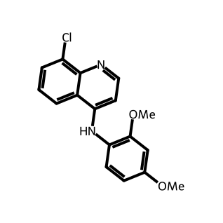 COc1ccc(Nc2ccnc3c(Cl)cccc23)c(OC)c1